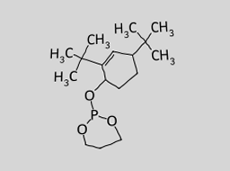 CC(C)(C)C1=CC(C(C)(C)C)CCC1OP1OCCCO1